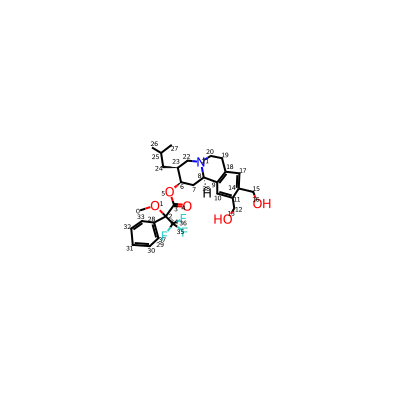 COC(C(=O)O[C@@H]1C[C@@H]2c3cc(CO)c(CO)cc3CCN2C[C@@H]1CC(C)C)(c1ccccc1)C(F)(F)F